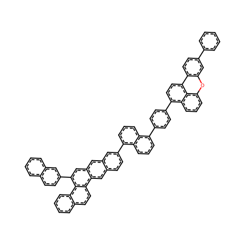 c1ccc(-c2ccc3c(c2)Oc2cccc4c(-c5ccc(-c6cccc7c(-c8ccc9cc%10c(cc(-c%11ccc%12ccccc%12c%11)c%11c%12ccccc%12ccc%10%11)cc9c8)cccc67)cc5)ccc-3c24)cc1